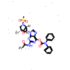 CC[C@@]12CN(S(C)(=O)=O)[C@@H]([C@H](n3cnc4c(OC(=O)N(c5ccccc5)c5ccccc5)nc(NC(=O)C(C)C)nc43)O1)[C@@H]2C